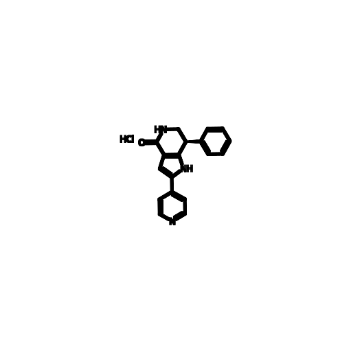 Cl.O=C1NC[C@@H](c2ccccc2)c2[nH]c(-c3ccncc3)cc21